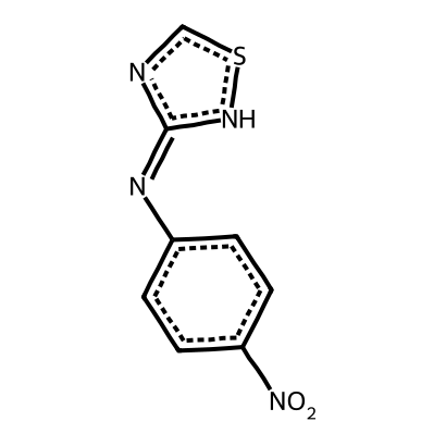 O=[N+]([O-])c1ccc(N=c2ncs[nH]2)cc1